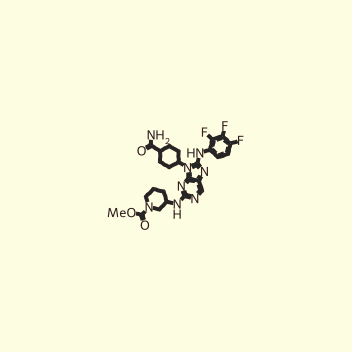 COC(=O)N1CCCC(Nc2ncc3nc(Nc4ccc(F)c(F)c4F)n(C4CCC(C(N)=O)CC4)c3n2)C1